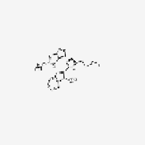 CC1=CC2C=CC=C2S1.CCCc1ccc(C2=Cc3ccccc3[CH]2[Zr+2])o1.[Cl-].[Cl-]